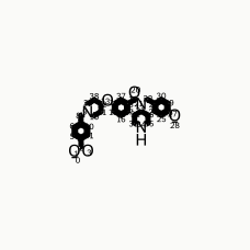 COC(=O)c1ccc(CN2CCC(Oc3cccc(C(=O)N(Cc4ccc(OC)cc4)C4CCNCC4)c3)CC2)cc1